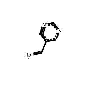 C=Cc1c#[n+]cnc1